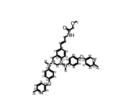 COCC(=O)NC/C=C/c1ccc2c(c1)CN(N(C)c1ccc(Oc3ccc(C)nc3)cc1)CN2N(C)c1ccc(Oc2ccc(C)nc2)cc1